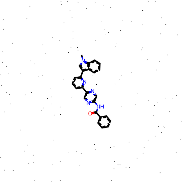 Cn1cc(-c2cccc(-c3cnc(NC(=O)c4ccccc4)cn3)n2)c2ccccc21